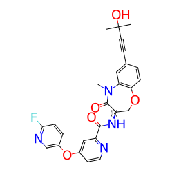 CN1C(=O)[C@H](NC(=O)c2cc(Oc3ccc(F)nc3)ccn2)COc2ccc(C#CC(C)(C)O)cc21